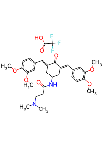 COc1ccc(/C=C2\CC(NC(=O)CCN(C)C)C/C(=C\c3ccc(OC)c(OC)c3)C2=O)cc1OC.O=C(O)C(F)(F)F